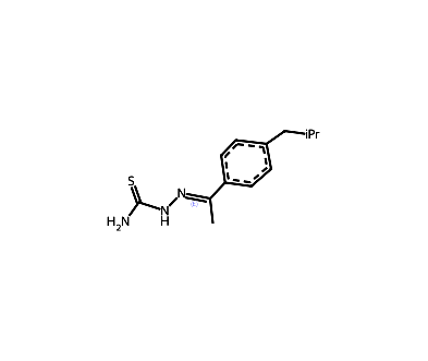 C/C(=N\NC(N)=S)c1ccc(CC(C)C)cc1